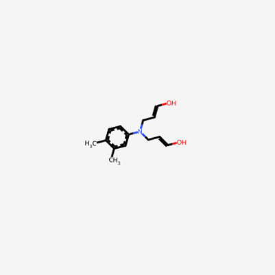 Cc1ccc(N(CC=CO)CC=CO)cc1C